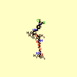 C=C(C)C(=O)NCCOCCOCC(=O)NCCC(C)(C)COCC(C)C(C)CCNCc1ccc(N(CCCl)CCCl)cc1